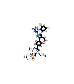 CC(CN(C)CCS(C)(=O)=O)c1ccc2c(c1)OCCc1cn(-c3ncnn3-c3ccc(F)cc3F)nc1-2